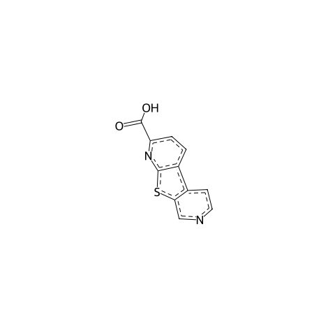 O=C(O)c1ccc2c(n1)sc1cnccc12